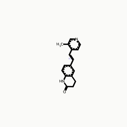 Cc1cnccc1/C=C/c1ccc2c(c1)CCC(=O)N2